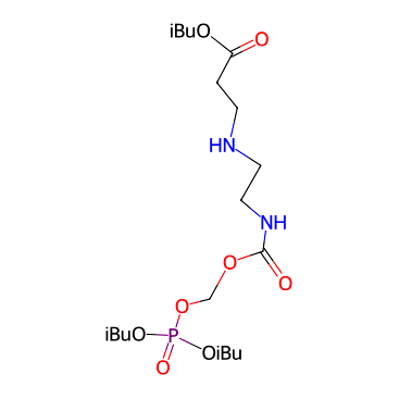 CC(C)COC(=O)CCNCCNC(=O)OCOP(=O)(OCC(C)C)OCC(C)C